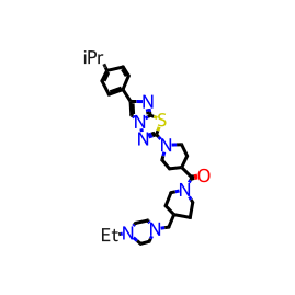 CCN1CCN(CC2CCN(C(=O)C3CCN(c4nn5cc(-c6ccc(C(C)C)cc6)nc5s4)CC3)CC2)CC1